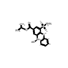 CCCCNc1cc(C(=O)OC(C)C(C)C)cc(S(=O)(=O)NC(C)=O)c1Oc1ccccc1